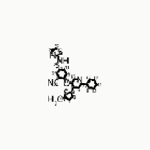 Cc1ccc(-c2cc(-c3ccccc3)ncc2Oc2ccc(SNc3nccs3)cc2C#N)s1